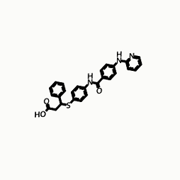 O=C(O)CC(Sc1ccc(NC(=O)c2ccc(Nc3ccccn3)cc2)cc1)c1ccccc1